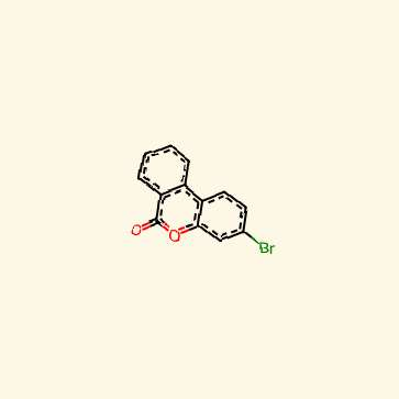 O=c1oc2cc(Br)ccc2c2ccccc12